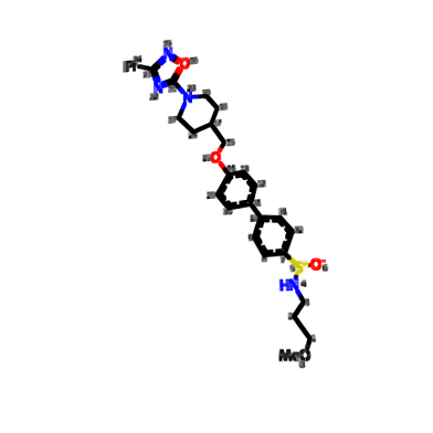 COCCCN[S+]([O-])c1ccc(-c2ccc(OCC3CCN(c4nc(C(C)C)no4)CC3)cc2)cc1